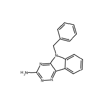 Nc1nnc2c3ccccc3n(Cc3ccccc3)c2n1